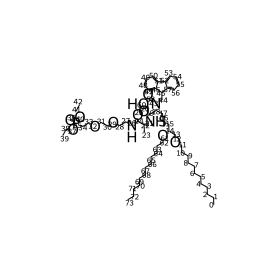 CCCCCCCCCCCCOC[C@H](CSC[C@@H](C(=O)N[C@@H](C)C(=O)NCCOCCOCCP(=O)(OCC)OCC)N(CC1c2ccccc2-c2ccccc21)C(=O)O)OCCCCCCCCCCCC